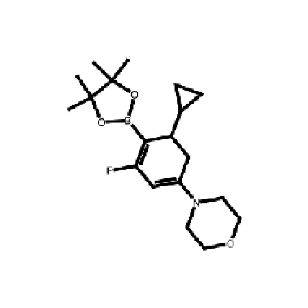 CC1(C)OB(C2=C(F)C=C(N3CCOCC3)CC2C2CC2)OC1(C)C